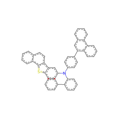 c1ccc(-c2ccccc2N(c2ccc(-c3cc4ccccc4c4ccccc34)cc2)c2ccc3sc4c5ccccc5ccc4c3c2)cc1